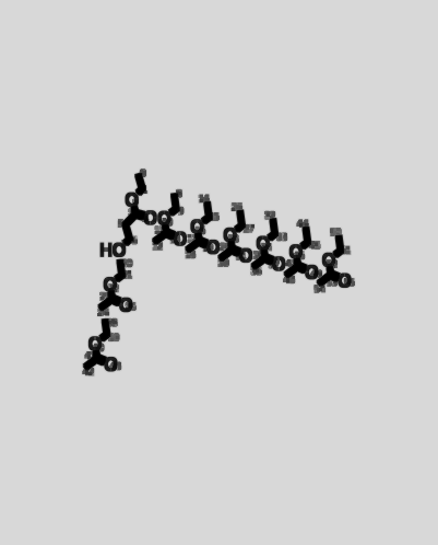 CCOC(=O)CCO.CCOC(C)=O.CCOC(C)=O.CCOC(C)=O.CCOC(C)=O.CCOC(C)=O.CCOC(C)=O.CCOC(C)=O.CCOC(C)=O